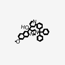 COc1ccc2cc(C(O)(c3ccncc3)c3cn(C(c4ccccc4)(c4ccccc4)c4ccccc4)cn3)ccc2c1